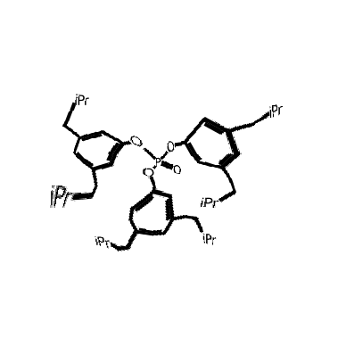 CC(C)Cc1cc(CC(C)C)cc(OP(=O)(Oc2cc(CC(C)C)cc(CC(C)C)c2)Oc2cc(CC(C)C)cc(CC(C)C)c2)c1